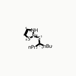 CCC[CH]C(CCC)SN1NC=CS1